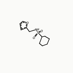 O=S(=O)(NCc1ccco1)C1CCCCC1